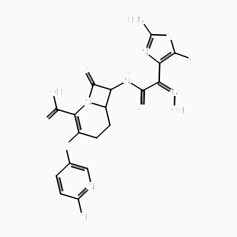 Nc1nc(/C(=N/O)C(=O)NC2C(=O)N3C(C(=O)O)=C(Sc4ccc(Cl)nc4)CCC23)c(Cl)s1